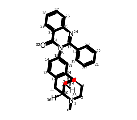 CN1CC[C@]23CCCC[C@H]2[C@H]1Cc1ccc(-n2c(-c4ccccc4)nc4ccccc4c2=O)cc13